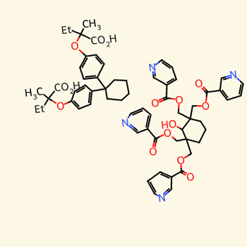 CCC(C)(Oc1ccc(C2(c3ccc(OC(C)(CC)C(=O)O)cc3)CCCCC2)cc1)C(=O)O.O=C(OCC1(COC(=O)c2cccnc2)CCCC(COC(=O)c2cccnc2)(COC(=O)c2cccnc2)C1O)c1cccnc1